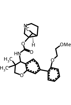 COCCOc1ccccc1-c1ccc2c(c1)OCC(C)(C)C2NC(=O)O[C@H]1CN2CCC1CC2